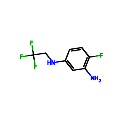 Nc1cc(NCC(F)(F)F)ccc1F